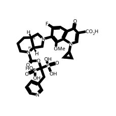 COc1c(N2C[C@H]3CCCN(C(=O)OC(Cc4cccnc4)(P(=O)(O)O)P(=O)(O)O)[C@H]3C2)c(F)cc2c(=O)c(C(=O)O)cn(C3CC3)c12